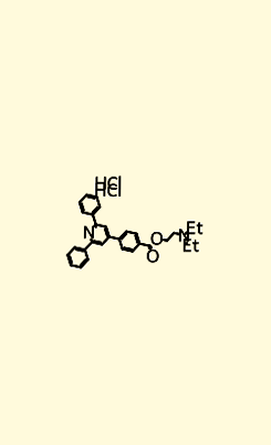 CCN(CC)CCOC(=O)c1ccc(-c2cc(-c3ccccc3)nc(-c3ccccc3)c2)cc1.Cl.Cl